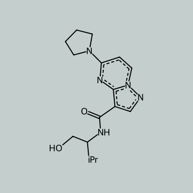 CC(C)C(CO)NC(=O)c1cnn2ccc(N3CCCC3)nc12